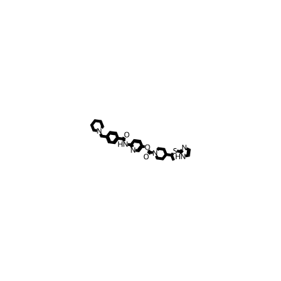 CC(Sc1ncc[nH]1)C1CCN(C(=O)Oc2ccc(NC(=O)c3ccc(CN4CCCCC4)cc3)nc2)CC1